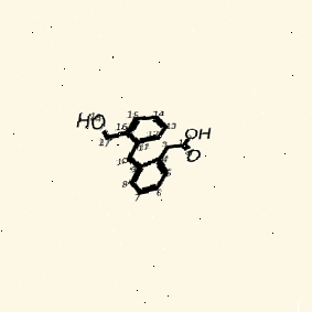 O=C(O)Cc1ccccc1Cc1ccccc1CO